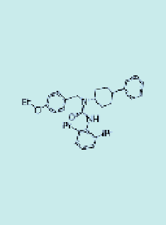 CCOc1ccc(CN(C(=O)Nc2c(C(C)C)cccc2C(C)C)[C@H]2CC[C@H](c3ccccc3)CC2)cc1